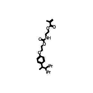 C=C(C)C(=O)OCCNC(=O)OCCOc1ccc(C(C)C(C(C)C)C(C)C)cc1